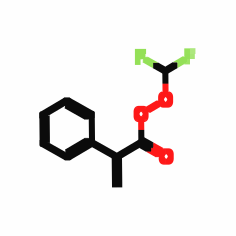 C=C(C(=O)OOC(F)F)c1ccccc1